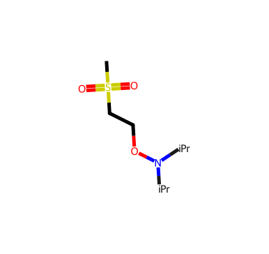 CC(C)N(OCCS(C)(=O)=O)C(C)C